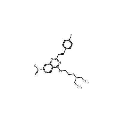 CCN(CC)CCCNc1nc(/C=C/c2ccc(F)cc2)nc2cc([N+](=O)[O-])ccc12